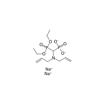 C=CCN(CC=C)C(P(=O)([O-])[O-])P(=O)(OCC)OCC.[Na+].[Na+]